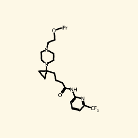 CC(C)OCCN1CCN(C2(CCCC(=O)Nc3cccc(C(F)(F)F)n3)CC2)CC1